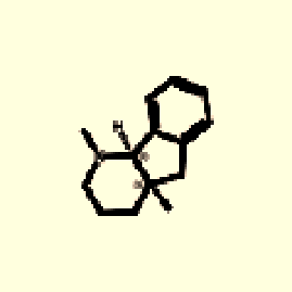 CN1CCC[C@@]2(C)Cc3ccccc3[C@H]12